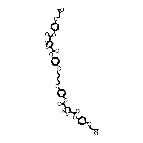 O=C(Oc1ccc(OCC2CO2)cc1)c1cc(C(=O)Oc2ccc(OCCCCOc3ccc(OC(=O)c4cc(C(=O)Oc5ccc(OCC6CO6)cc5)sn4)cc3)cc2)sn1